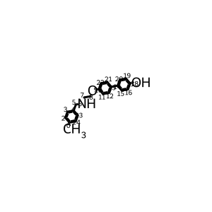 Cc1ccc(CNCCOc2ccc(-c3ccc(O)cc3)cc2)cc1